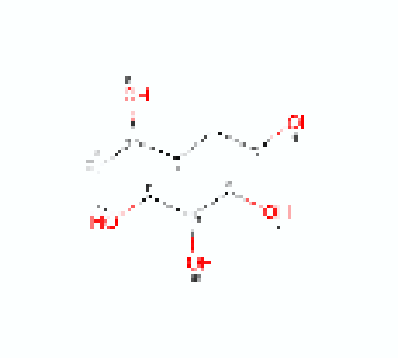 CCC(O)CCCO.OCC(O)CO